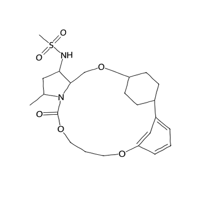 CC1CC(NS(C)(=O)=O)C2COC3CCC(CC3)c3cccc(c3)OCCCOC(=O)N12